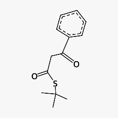 CC(C)(C)SC(=O)CC(=O)c1ccccc1